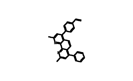 C=Cc1ccc(-c2cc(C)nc3c2ccc2c(-c4ccccc4)cc(C)nc23)cc1